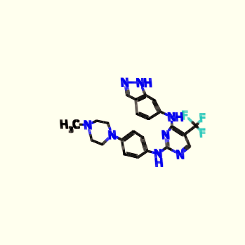 CN1CCN(c2ccc(Nc3ncc(C(F)(F)F)c(Nc4ccc5cn[nH]c5c4)n3)cc2)CC1